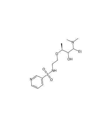 CCC(C(O)[C@H](C)OCCNS(=O)(=O)c1cccnc1)N(C)C